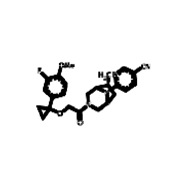 COc1ccc(C2(OCC(=O)N3CC4C[C@H](C)C(C3)N4c3ccc(C#N)cn3)CC2)cc1F